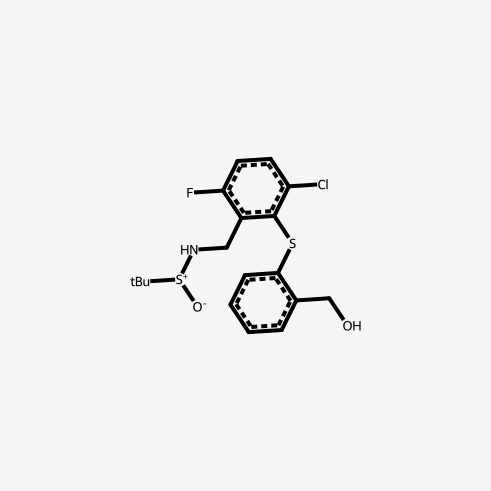 CC(C)(C)[S+]([O-])NCc1c(F)ccc(Cl)c1Sc1ccccc1CO